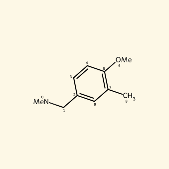 CNCc1ccc(OC)c(C)c1